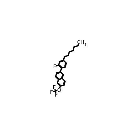 CCCCCCCc1ccc(-c2ccc3cc(OC(F)(F)F)ccc3c2)c(F)c1